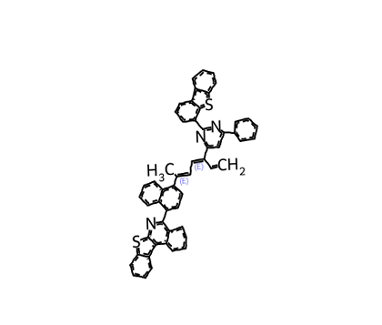 C=C/C(=C\C=C(/C)c1ccc(-c2nc3sc4ccccc4c3c3ccccc23)c2ccccc12)c1cc(-c2ccccc2)nc(-c2cccc3c2sc2ccccc23)n1